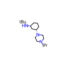 CC(C)N1CCN([C@H]2CCC[C@H](NC(C)(C)C)C2)CC1